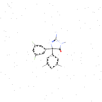 Cc1cc(C)cc(C2(c3cc(F)cc(F)c3)N=C(N)N(C)C2=O)c1